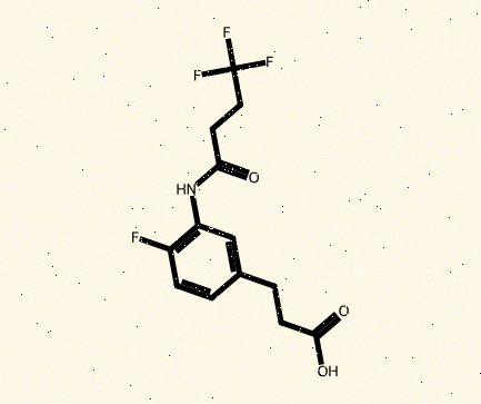 O=C(O)CCc1ccc(F)c(NC(=O)CCC(F)(F)F)c1